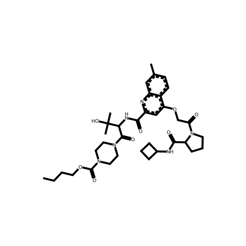 CCCCOC(=O)N1CCN(C(=O)C(NC(=O)c2cc(OCC(=O)N3CCCC3C(=O)NC3CCC3)c3ccc(C)cc3n2)C(C)(C)O)CC1